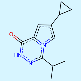 CC(C)c1n[nH]c(=O)c2cc(C3CC3)cn12